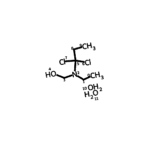 CCN(CO)C(Cl)(Cl)CC.O.O